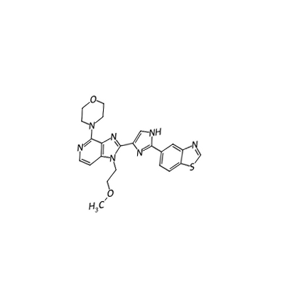 COCCn1c(-c2c[nH]c(-c3ccc4scnc4c3)n2)nc2c(N3CCOCC3)nccc21